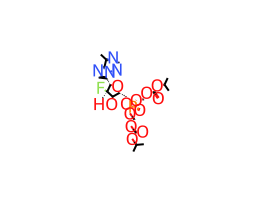 Cc1ncnn2c([C@@H]3O[C@H](COP(=O)(OCOC(=O)OC(C)C)OCOC(=O)OC(C)C)[C@@H](O)[C@@]3(C)F)cnc12